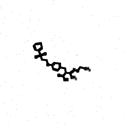 CCON=C(C)C(Cc1ccc(OCCS(=O)(=O)c2ccccc2)cc1)C(=O)O